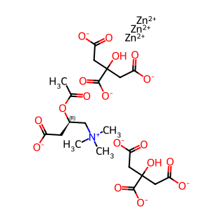 CC(=O)O[C@H](CC(=O)[O-])C[N+](C)(C)C.O=C([O-])CC(O)(CC(=O)[O-])C(=O)[O-].O=C([O-])CC(O)(CC(=O)[O-])C(=O)[O-].[Zn+2].[Zn+2].[Zn+2]